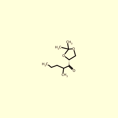 CCCC(C)C(=O)[C@H]1COC(C)(C)O1